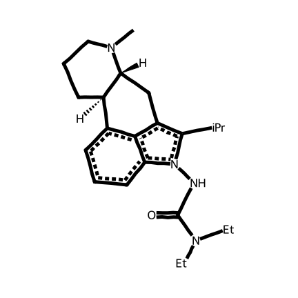 CCN(CC)C(=O)Nn1c(C(C)C)c2c3c(cccc31)[C@H]1CCCN(C)[C@@H]1C2